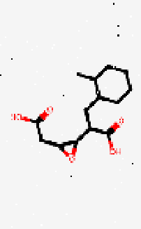 CC1CCCCC1CC(C(=O)O)C1OC1CC(=O)O